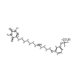 CCOC(=O)C(C)(C)Sc1cccc(OCCCCNCCCCCCCc2nn(C)c(=O)n(C)c2=O)c1